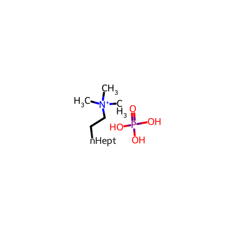 CCCCCCCCC[N+](C)(C)C.O=P(O)(O)O